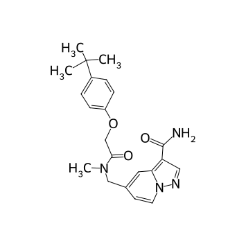 CN(Cc1ccn2ncc(C(N)=O)c2c1)C(=O)COc1ccc(C(C)(C)C)cc1